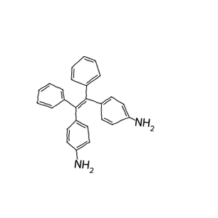 Nc1ccc(/C(=C(/c2ccccc2)c2ccc(N)cc2)c2ccccc2)cc1